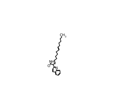 CCCCCCC=CCCCCCCC(C(N)=O)c1ccc2ccccc2n1